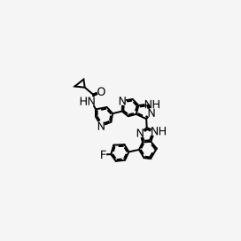 O=C(Nc1cncc(-c2cc3c(-c4nc5c(-c6ccc(F)cc6)cccc5[nH]4)n[nH]c3cn2)c1)C1CC1